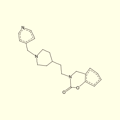 O=C1Oc2ccccc2CN1CCC1CCN(Cc2ccncc2)CC1